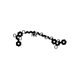 O=c1cc(-c2ccccc2)oc2cc(OCCCCc3cn(CCOCCOCCOc4ccc5c(=O)cc(-c6ccccc6)oc5c4)nn3)ccc12